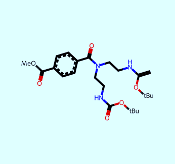 C=C(NCCN(CCNC(=O)OC(C)(C)C)C(=O)c1ccc(C(=O)OC)cc1)OC(C)(C)C